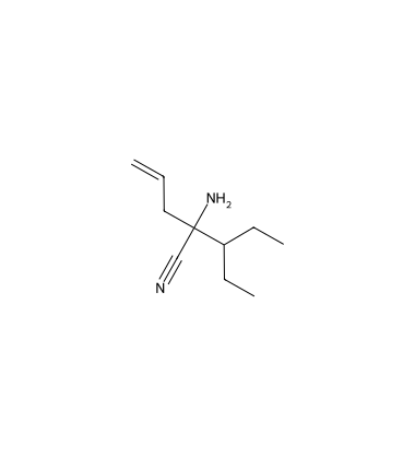 C=CCC(N)(C#N)C(CC)CC